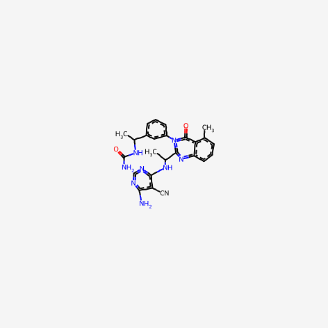 Cc1cccc2nc(C(C)Nc3ncnc(N)c3C#N)n(-c3cccc(C(C)NC(N)=O)c3)c(=O)c12